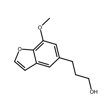 COc1cc(CCCO)cc2ccoc12